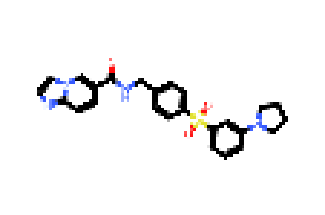 O=C(NCc1ccc(S(=O)(=O)c2cccc(N3CCCC3)c2)cc1)c1ccc2nccn2c1